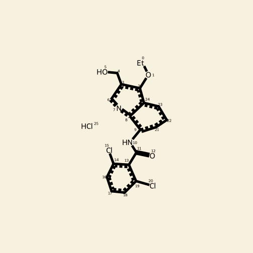 CCOc1c(CO)cnc2c(NC(=O)c3c(Cl)cccc3Cl)cccc12.Cl